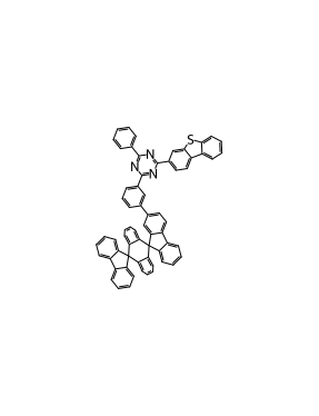 c1ccc(-c2nc(-c3cccc(-c4ccc5c(c4)C4(c6ccccc6-5)c5ccccc5C5(c6ccccc6-c6ccccc65)c5ccccc54)c3)nc(-c3ccc4c(c3)sc3ccccc34)n2)cc1